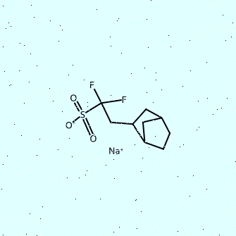 O=S(=O)([O-])C(F)(F)CC1CC2CCC1C2.[Na+]